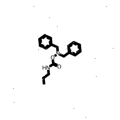 CCCNC(=O)ON(Cc1ccccc1)Cc1ccccc1